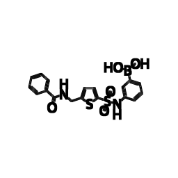 O=C(NCc1ccc(S(=O)(=O)Nc2cccc(B(O)O)c2)s1)c1ccccc1